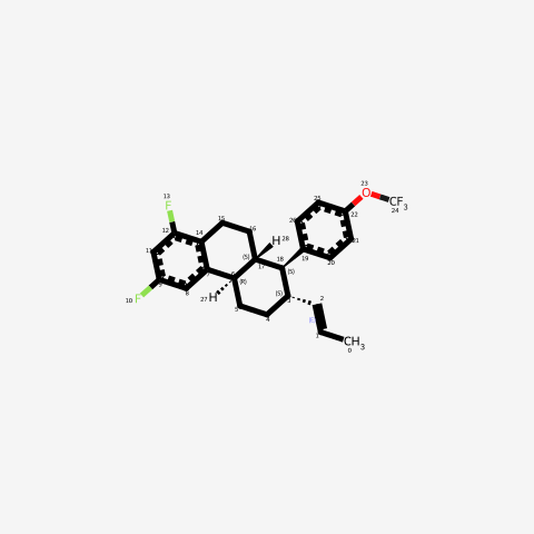 C/C=C/[C@@H]1CC[C@H]2c3cc(F)cc(F)c3CC[C@@H]2[C@H]1c1ccc(OC(F)(F)F)cc1